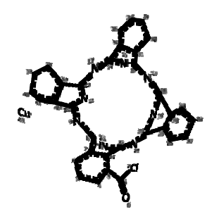 O=C(Cl)c1cccc2c3nc4nc(nc5[nH]c(nc6nc(nc([nH]3)c12)-c1ccccc1-6)c1ccccc51)-c1ccccc1-4.[Cu]